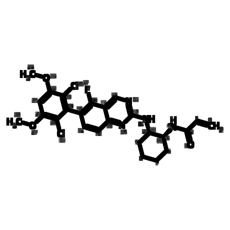 C=CC(=O)N[C@H]1CCCC[C@H]1Nc1ncc2c(F)c(-c3c(Cl)c(OC)cc(OC)c3Cl)ccc2n1